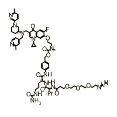 Cc1ccc(N2CCC[C@H](N(Cc3ccnc(C)c3)Cc3cn(C4CC4)c4cc(OCCN(C)C(=O)OCc5ccc(NC(=O)[C@H](CCCNC(N)=O)NC(=O)[C@@H](NC(=O)CCOCCOCCOCCN=[N+]=[N-])C(C)C)cc5)c(F)cc4c3=O)C2)cn1